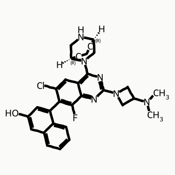 CN(C)C1CN(c2nc(N3C[C@H]4CCC[C@@H]3CN4)c3cc(Cl)c(-c4cc(O)cc5ccccc45)c(F)c3n2)C1